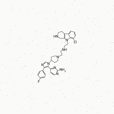 Nc1nccc(-c2c(-c3ccc(F)cc3)ncn2C2CCN(CCNCCn3c4c(c5cccc(Cl)c53)CCNC4)CC2)n1